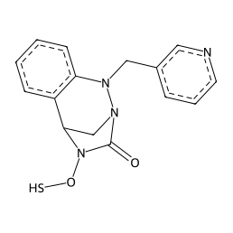 O=C1N(OS)C2CN1N(Cc1cccnc1)c1ccccc12